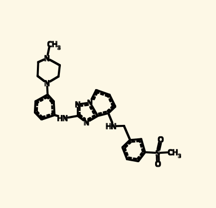 CN1CCN(c2cccc(Nc3nc4c(NCc5cccc(S(C)(=O)=O)c5)cccn4n3)c2)CC1